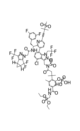 CCOP(=O)(CNC(=O)c1cc(C)c(C(C)(C)CC(=O)N(Cc2nn(CC(F)(F)F)c3c(-c4ccc(C#CC(C)(C)S(C)(=O)=O)nc4[C@H](Cc4cc(F)cc(F)c4)NC(=O)Cn4nc(C(F)(F)F)c5c4C(F)(F)[C@@H]4C[C@H]54)ccc(Cl)c23)[SH](=O)=O)c(OP(=O)(O)O)c1)OCC